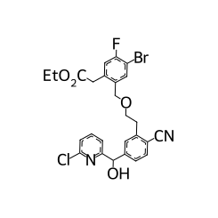 CCOC(=O)Cc1cc(F)c(Br)cc1COCCc1cc(C(O)c2cccc(Cl)n2)ccc1C#N